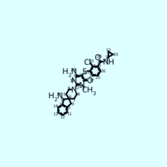 Cn1c(N2CCC3(CC2)Cc2ccccc2[C@H]3N)nc(N)c(Sc2cccc(C(=O)NC3CC3)c2Cl)c1=O